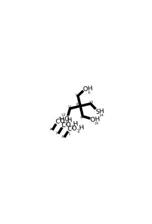 CC(=O)O.CC(=O)O.CC(=O)O.OCC(CO)(CO)CS